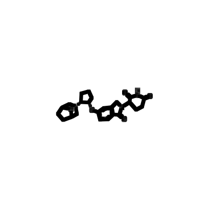 O=C1CCC(N2Cc3cc(O[C@H]4CCC[C@H]4N4CC5CCC(C4)O5)ccc3C2=O)C(=O)N1